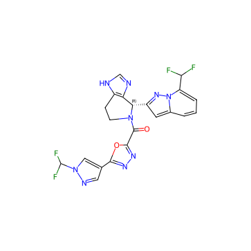 O=C(c1nnc(-c2cnn(C(F)F)c2)o1)N1CCc2[nH]cnc2[C@@H]1c1cc2cccc(C(F)F)n2n1